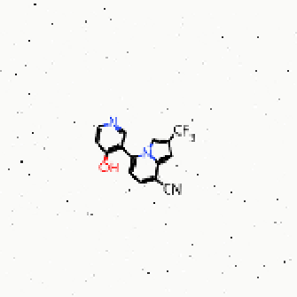 N#Cc1ccc(-c2cnccc2O)n2cc(C(F)(F)F)cc12